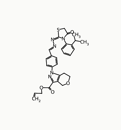 C=CCOC(=O)c1nn(-c2ccc(C=NN=C3SCC(=O)N3c3ccccc3C(C)C)cc2)c2c1COCC2